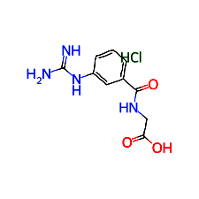 Cl.N=C(N)Nc1cccc(C(=O)NCC(=O)O)c1